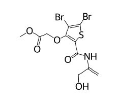 C=C(CO)NC(=O)c1sc(Br)c(Br)c1OCC(=O)OC